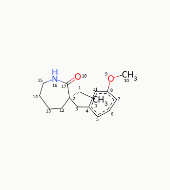 CC[C@]1(Cc2cccc(OC)c2)CCCCNC1=O